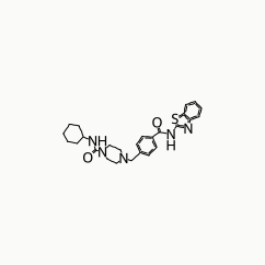 O=C(Nc1nc2ccccc2s1)c1ccc(CN2CCN(C(=O)NC3CCCCC3)CC2)cc1